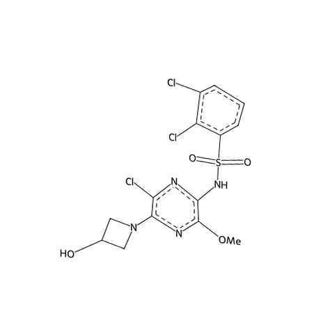 COc1nc(N2CC(O)C2)c(Cl)nc1NS(=O)(=O)c1cccc(Cl)c1Cl